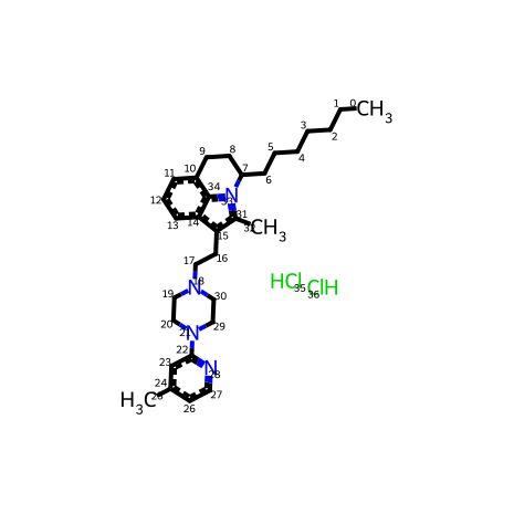 CCCCCCCC1CCc2cccc3c(CCN4CCN(c5cc(C)ccn5)CC4)c(C)n1c23.Cl.Cl